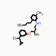 CCCC(CCNc1cc(C)ccc1CCCC(C)(C)C)COc1cccc(C(CC)C2CC2)c1